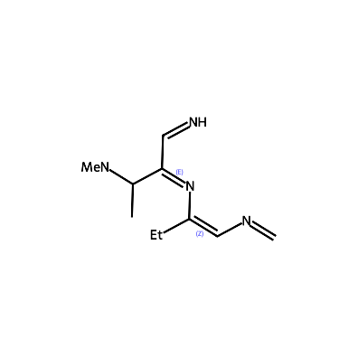 C=N/C=C(CC)\N=C(\C=N)C(C)NC